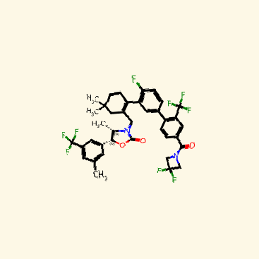 Cc1cc([C@H]2OC(=O)N(CC3=C(c4cc(-c5ccc(C(=O)N6CC(F)(F)C6)cc5C(F)(F)F)ccc4F)CCC(C)(C)C3)[C@H]2C)cc(C(F)(F)F)c1